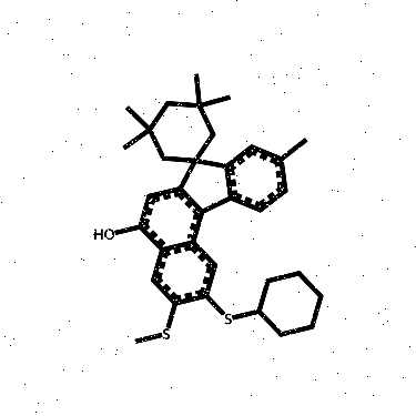 CSc1cc2c(O)cc3c(c2cc1SC1CCCCC1)-c1ccc(C)cc1C31CC(C)(C)CC(C)(C)C1